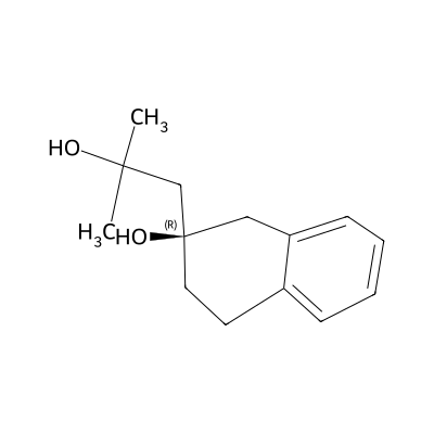 CC(C)(O)C[C@@]1(O)CCc2ccccc2C1